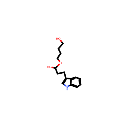 OCCCCOC(O)CCc1c[nH]c2ccccc12